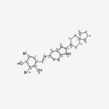 Oc1c(Br)cc(/C=N/c2ccc3[nH]c(N4CCC5(CC4)OCCO5)nc3c2)c(O)c1Br